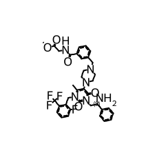 COC(=O)CNC(=O)c1cccc(CN2CCN(c3c(C)n(Cc4c(F)cccc4C(F)(F)F)c(=O)n(C[C@@H](N)c4ccccc4)c3=O)CC2)c1